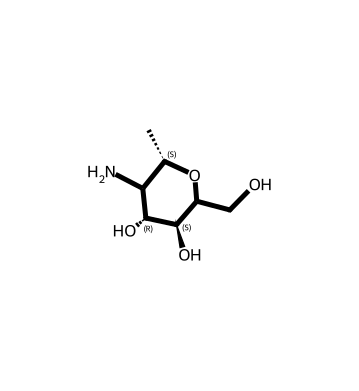 C[C@@H]1OC(CO)[C@@H](O)[C@H](O)C1N